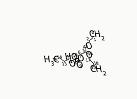 C=CCOCC(COP(=O)(O)OCCCC)OCC=C